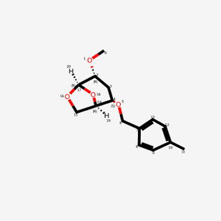 CO[C@@H]1C[C@H](OCc2ccc(C)cc2)[C@H]2CO[C@@H]1O2